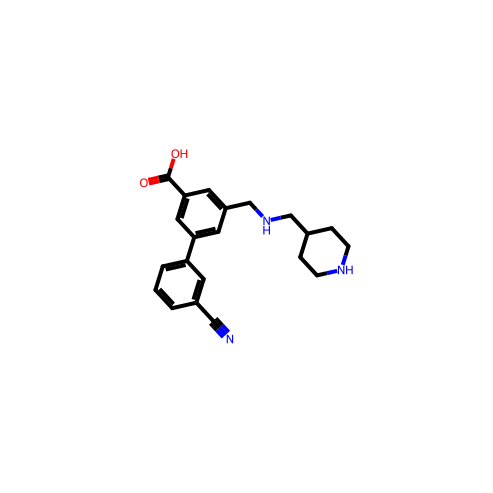 N#Cc1cccc(-c2cc(CNCC3CCNCC3)cc(C(=O)O)c2)c1